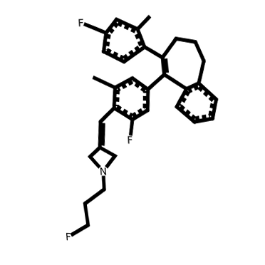 Cc1cc(F)ccc1C1=C(c2cc(C)c(C=C3CN(CCCF)C3)c(F)c2)c2ccccc2CCC1